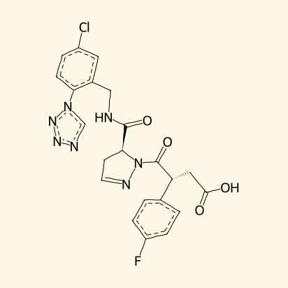 O=C(O)C[C@@H](C(=O)N1N=CC[C@H]1C(=O)NCc1cc(Cl)ccc1-n1cnnn1)c1ccc(F)cc1